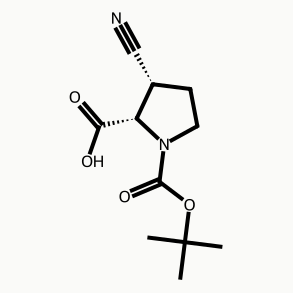 CC(C)(C)OC(=O)N1CC[C@@H](C#N)[C@H]1C(=O)O